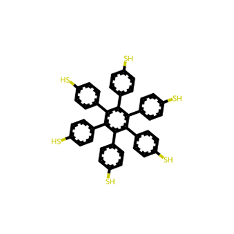 Sc1ccc(-c2c(-c3ccc(S)cc3)c(-c3ccc(S)cc3)c(-c3ccc(S)cc3)c(-c3ccc(S)cc3)c2-c2ccc(S)cc2)cc1